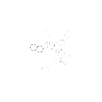 NCCCCC(NC(=O)[C@@H]1C[C@@H](N2CCCCC2)CN1C(=O)[C@@H](CC1CCCCC1)NC(=O)c1ccc2ccccc2c1)C(O)C(N)=O